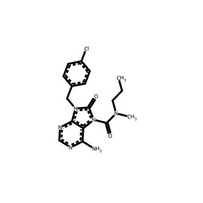 CCCN(C)C(=O)n1c(=O)n(Cc2ccc(Cl)cc2)c2ncnc(N)c21